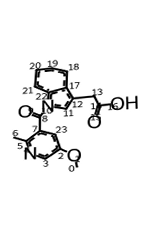 COc1cnc(C)c(C(=O)n2cc(CC(=O)O)c3ccccc32)c1